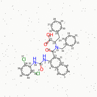 O=C(Nc1cc2ccccc2cc1C(=O)N(Cc1ccccc1)C(Cc1ccccc1)C(=O)O)Nc1c(Cl)cccc1Cl